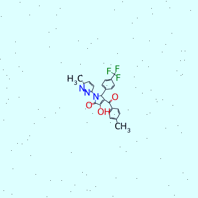 Cc1ccc(C(=O)C2=C(O)C(=O)N(c3ccc(C)nn3)C2c2ccc(C(F)(F)F)cc2)cc1